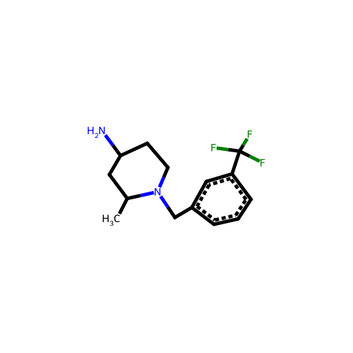 CC1CC(N)CCN1Cc1cccc(C(F)(F)F)c1